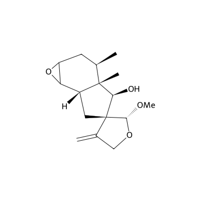 C=C1CO[C@@H](OC)[C@]12C[C@@H]1C3OC3C[C@@H](C)[C@]1(C)[C@H]2O